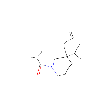 C=CCC1(C(C)C)CCCN(C(=O)C(C)C)C1